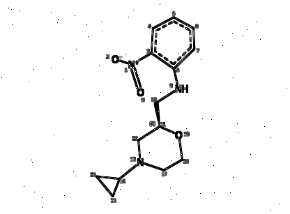 O=[N+]([O-])c1ccccc1NC[C@@H]1CN(C2CC2)CCO1